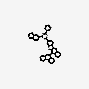 c1ccc(-c2nc(-c3ccc4ccccc4c3)nc(-c3ccc4c(c3)oc3c(-c5cc6ccccc6c6ccccc56)c5ccccc5cc34)n2)cc1